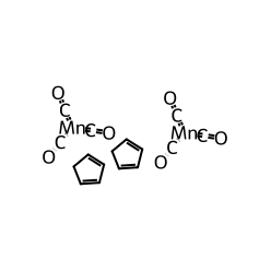 C1=CCC=C1.C1=CCC=C1.O=[C]=[Mn](=[C]=O)=[C]=O.O=[C]=[Mn](=[C]=O)=[C]=O